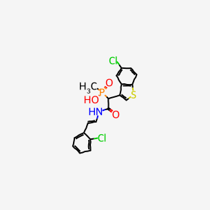 CP(=O)(O)C(C(=O)NC=Cc1ccccc1Cl)c1csc2ccc(Cl)cc12